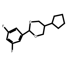 Fc1cc(F)cc(C2OCC(C3CCCC3)CO2)c1